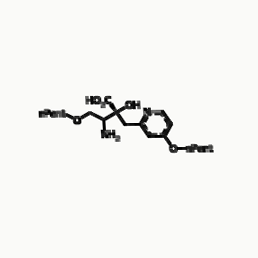 CCCCCOCC(N)[C@](O)(Cc1cc(OCCCCC)ccn1)C(=O)O